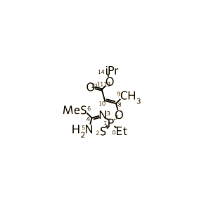 CCP(=S)(N=C(N)SC)OC(C)=CC(=O)OC(C)C